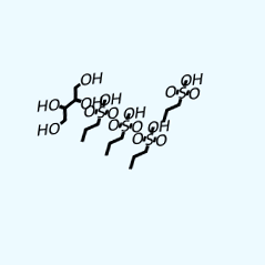 CCCS(=O)(=O)O.CCCS(=O)(=O)O.CCCS(=O)(=O)O.CCCS(=O)(=O)O.OCC(O)C(O)CO